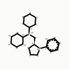 c1ccc(P2CCC[C@H]2CP(C2CCCCC2)C2CCCCC2)cc1